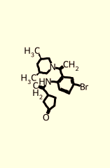 C=C(Nc1ccc(Br)cc1C(=C)N1C[C@H](C)C[C@H](C)C1)C1CCC(=O)C1